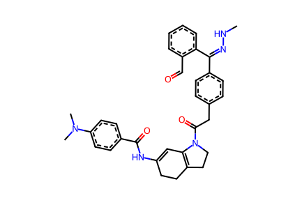 CN/N=C(/c1ccc(CC(=O)N2CCC3=C2C=C(NC(=O)c2ccc(N(C)C)cc2)CC3)cc1)c1ccccc1C=O